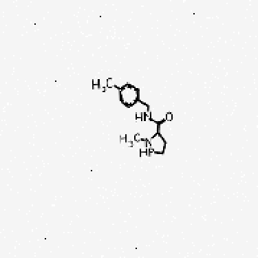 Cc1ccc(CNC(=O)C2CCPN2C)cc1